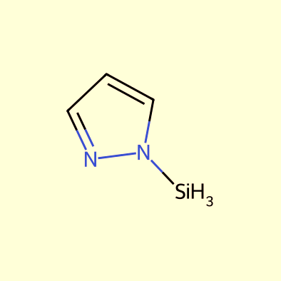 [SiH3]n1cccn1